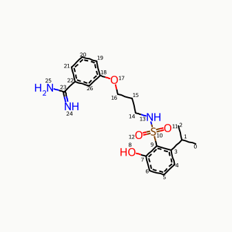 CC(C)c1cccc(O)c1S(=O)(=O)NCCCOc1cccc(C(=N)N)c1